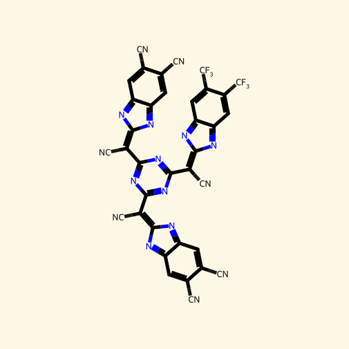 N#CC(=C1N=c2cc(C#N)c(C#N)cc2=N1)c1nc(C(C#N)=C2N=c3cc(C#N)c(C#N)cc3=N2)nc(C(C#N)=C2N=c3cc(C(F)(F)F)c(C(F)(F)F)cc3=N2)n1